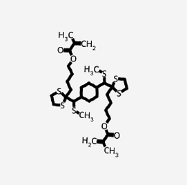 C=C(C)C(=O)OCCCCC1(C(SC)C2CCC(C(SC)C3(CCCCOC(=O)C(=C)C)SCCS3)CC2)SCCS1